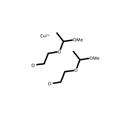 COC(C)OCC[O-].COC(C)OCC[O-].[Cu+2]